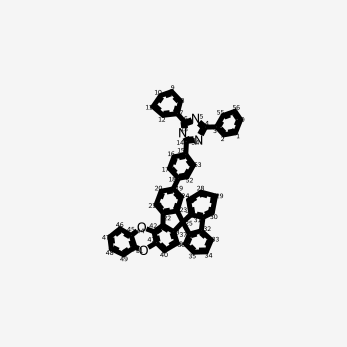 c1ccc(-c2nc(-c3ccccc3)nc(-c3ccc(-c4ccc5c(c4)C4(c6ccccc6-c6ccccc64)c4ccc6c(c4-5)Oc4ccccc4O6)cc3)n2)cc1